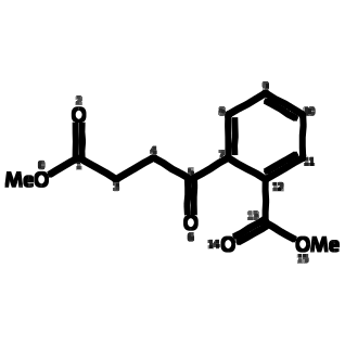 COC(=O)CCC(=O)c1ccccc1C(=O)OC